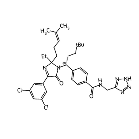 CCC1(CCC=C(C)C)N=C(c2cc(Cl)cc(Cl)c2)C(=O)N1[C@H](CCC(C)(C)C)c1ccc(C(=O)NCc2nn[nH]n2)cc1